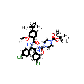 CCOc1cc(C(C)(C)C)ccc1C(=O)N[C@@H](c1ccc(Cl)cc1)[C@H](NC(=O)N1CCN(C(=O)OC(C)(C)C)CC1)c1ccc(Cl)cc1